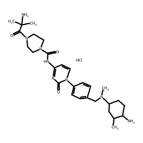 CC1CC(N(C)Cc2ccc(-n3ccc(NC(=O)N4CCN(C(=O)C(C)(C)N)CC4)nc3=O)cc2)CCC1N.Cl